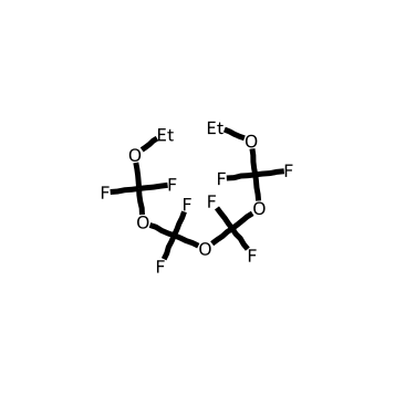 CCOC(F)(F)OC(F)(F)OC(F)(F)OC(F)(F)OCC